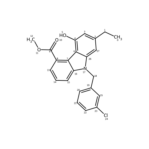 CCc1cc(O)c2c3c(C(=O)OC)cccc3n(Cc3cccc(Cl)c3)c2c1